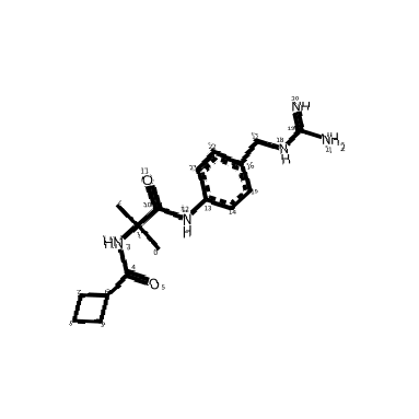 CC(C)(NC(=O)C1CCC1)C(=O)Nc1ccc(CNC(=N)N)cc1